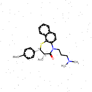 COc1ccc([C@@H]2Sc3c(ccc4ccccc34)N(CCCN(C)C)C(=O)[C@@H]2OC(C)=O)cc1